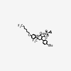 CC(C)(C)c1ccc(C2=C(C(=O)NS(=O)(=O)C3CC3)C(=O)NC(c3ccc(OCCCCCC(F)(F)F)cc3)(C(F)(F)F)C2)cc1